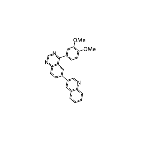 COc1ccc(-c2ncnc3ccc(-c4cnc5ccccc5c4)cc23)cc1OC